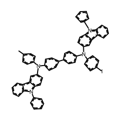 Cc1ccc(N(c2ccc(-c3ccc(N(c4ccc(I)cc4)c4ccc5c(c4)c4ccccc4n5-c4ccccc4)cc3)cc2)c2ccc3c(c2)c2ccccc2n3-c2ccccc2)cc1